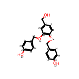 OCc1ccc(OCc2ccc(O)cc2)c(OCc2ccc(O)cc2)c1